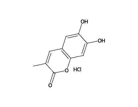 Cc1cc2cc(O)c(O)cc2oc1=O.Cl